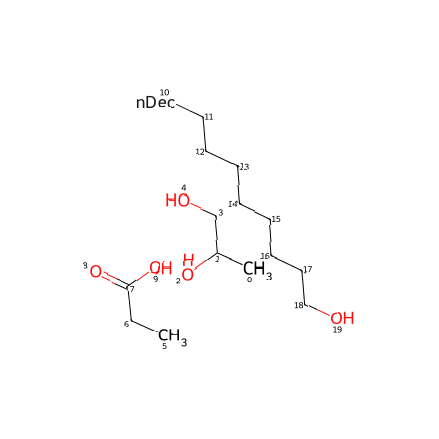 CC(O)CO.CCC(=O)O.CCCCCCCCCCCCCCCCCCO